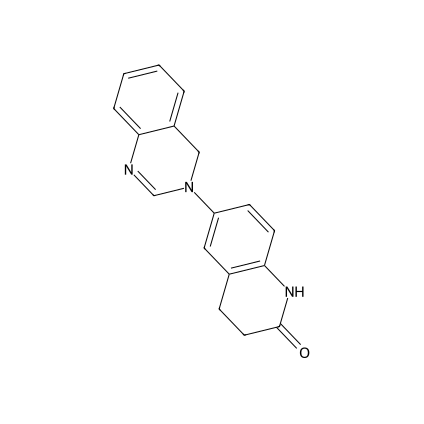 O=C1CCc2cc(N3C=Nc4ccccc4C3)ccc2N1